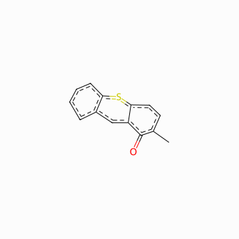 Cc1ccc2sc3ccccc3cc-2c1=O